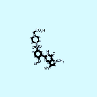 CCCc1cn(C)c2c(=O)[nH]c(-c3cc(S(=O)(=O)N4CCN(CC(=O)O)CC4)ccc3OCC)nc12